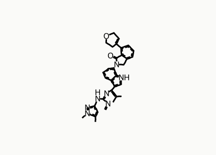 C=N/C(=N\C(=C(C)C)c1c[nH]c2c(N3Cc4cccc(C5=CCOCC5)c4C3=O)cccc12)Nc1cc(C)n(C)n1